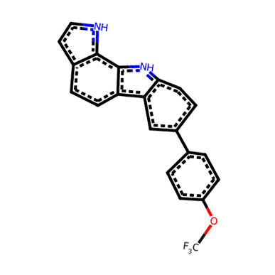 FC(F)(F)Oc1ccc(-c2ccc3[nH]c4c(ccc5cc[nH]c54)c3c2)cc1